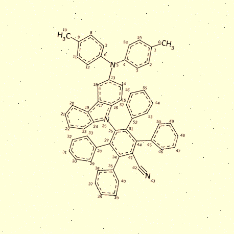 Cc1ccc(N(c2ccc(C)cc2)c2ccc3c(c2)c2ccccc2n3-c2c(-c3ccccc3)c(-c3ccccc3)c(C#N)c(-c3ccccc3)c2-c2ccccc2)cc1